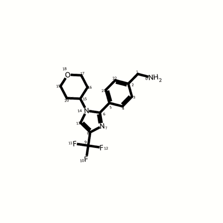 NCc1ccc(-c2nc(C(F)(F)F)cn2C2CCOCC2)cc1